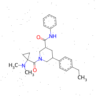 CCc1ccc(C2CC(C(=O)Nc3ccccc3)CN(C(=O)C3(N(C)C)CC3)C2)cc1